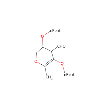 CCCCCOC1=C(C)OCC(OCCCCC)C1C=O